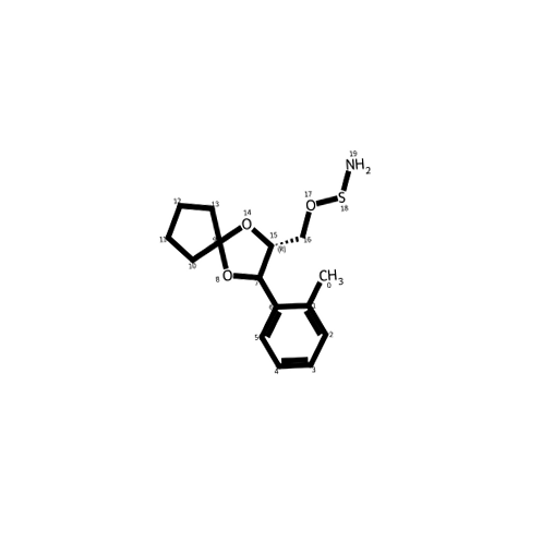 Cc1ccccc1C1OC2(CCCC2)O[C@@H]1COSN